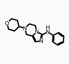 c1ccc(Nc2ncc3n2CCN(C2CCOCC2)C3)cc1